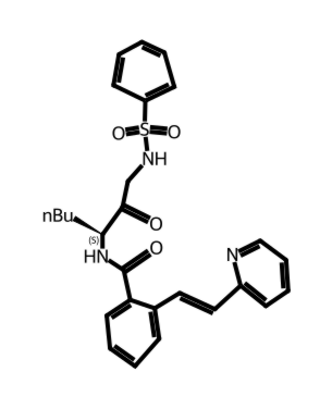 CCCC[C@H](NC(=O)c1ccccc1C=Cc1ccccn1)C(=O)CNS(=O)(=O)c1ccccc1